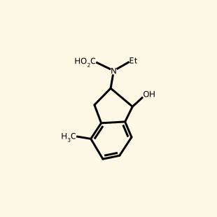 CCN(C(=O)O)C1Cc2c(C)cccc2C1O